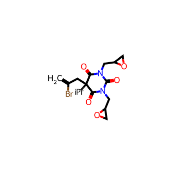 C=C(Br)CC1(C(C)C)C(=O)N(CC2CO2)C(=O)N(CC2CO2)C1=O